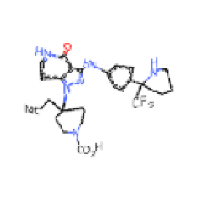 N#CCC1(n2nc(Nc3ccc(C4(C(F)(F)F)CCCN4)cc3)c3c(=O)[nH]ccc32)CCN(C(=O)O)CC1